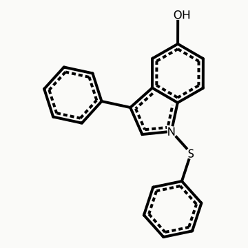 Oc1ccc2c(c1)c(-c1ccccc1)cn2Sc1ccccc1